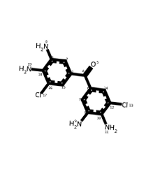 Nc1cc(C(=O)c2cc(N)c(N)c(Cl)c2)cc(Cl)c1N